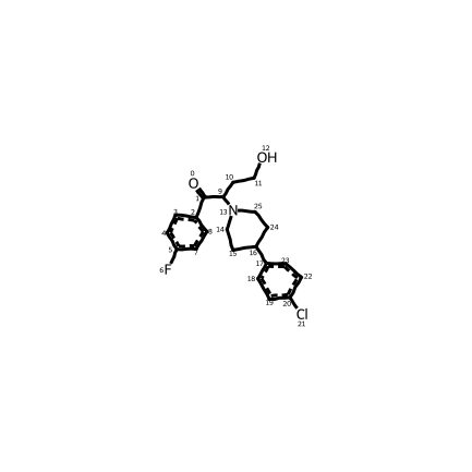 O=C(c1ccc(F)cc1)C(CCO)N1CCC(c2ccc(Cl)cc2)CC1